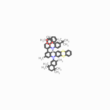 Cc1cc2c3c(c1)N(c1cc4c(cc1C)C(C)(C)CCC4(C)C)c1cc4c(cc1B3N(c1ccc(C(C)(C)C)cc1-c1ccccc1)c1c-2ccc2c1-c1ccccc1C2(C)C)Sc1ccccc1S4